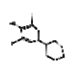 Oc1c(I)cc(C2CCCCC2)cc1I